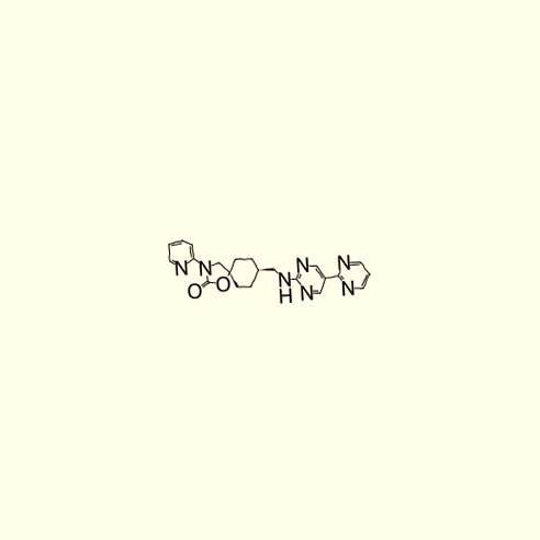 O=C1O[C@]2(CC[C@H](CNc3ncc(-c4ncccn4)cn3)CC2)CN1c1ccccn1